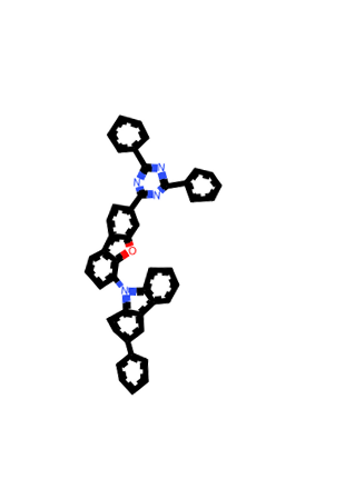 c1ccc(-c2ccc3c(c2)c2ccccc2n3-c2cccc3c2oc2cc(-c4nc(-c5ccccc5)nc(-c5ccccc5)n4)ccc23)cc1